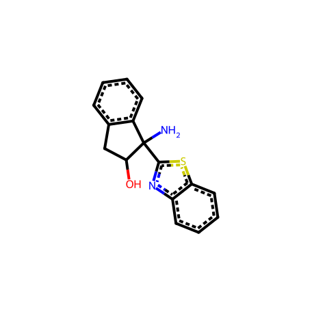 NC1(c2nc3ccccc3s2)c2ccccc2CC1O